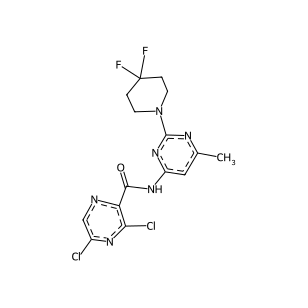 Cc1cc(NC(=O)c2ncc(Cl)nc2Cl)nc(N2CCC(F)(F)CC2)n1